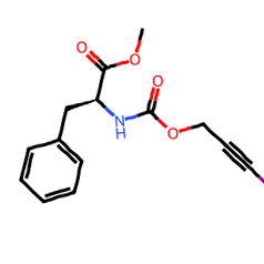 COC(=O)[C@H](Cc1ccccc1)NC(=O)OCC#CI